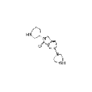 O=C1c2cc(N3CCNCC3)ccc2CN1[C@H]1CCCNC1